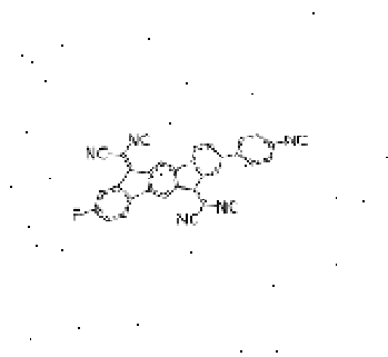 [C-]#[N+]/C(C#N)=C1/c2cc(F)ccc2-c2cc3c(cc21)-c1ccc(-c2ccc([N+]#[C-])cc2)cc1/C3=C(/C#N)[N+]#[C-]